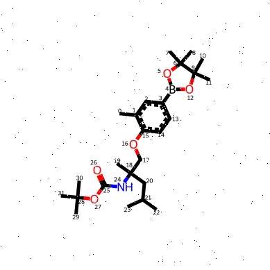 Cc1cc(B2OC(C)(C)C(C)(C)O2)ccc1OCC(C)(CC(C)C)NC(=O)OC(C)(C)C